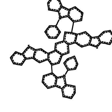 c1ccc(-n2c3ccccc3c3cccc(-c4cc5cc6c(cc(-c7cccc8c9ccccc9n(-c9ccccc9)c78)c7cc8c(cc76)sc6ccccc68)cc5c5cc6sc7ccccc7c6cc45)c32)cc1